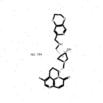 Cl.Cl.O=c1ccc2ncc(F)c3c2n1[C@@H](CN1C[C@H](CNCc2cc4c(cn2)OCCO4)[C@H](O)C1)CC3